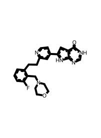 O=c1[nH]cnc2[nH]c(-c3ccnc(CCc4cccc(F)c4CN4CCOCC4)c3)cc12